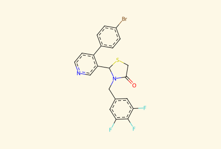 O=C1CSC(c2cnccc2-c2ccc(Br)cc2)N1Cc1cc(F)c(F)c(F)c1